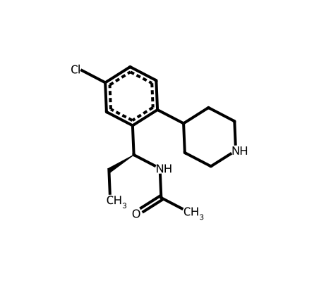 CC[C@H](NC(C)=O)c1cc(Cl)ccc1C1CCNCC1